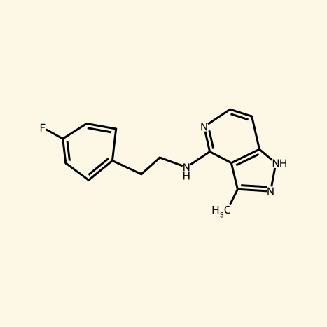 Cc1n[nH]c2ccnc(NCCc3ccc(F)cc3)c12